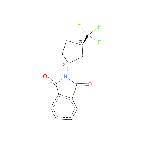 O=C1c2ccccc2C(=O)N1[C@@H]1CC[C@@H](C(F)(F)F)C1